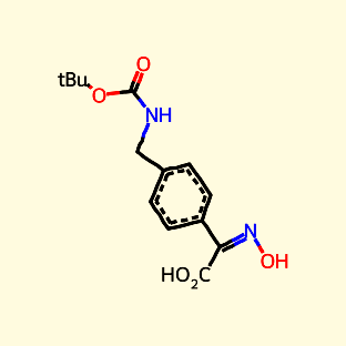 CC(C)(C)OC(=O)NCc1ccc(C(=NO)C(=O)O)cc1